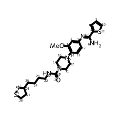 COc1cc(/N=C(\N)c2cccs2)ccc1N1CCN(C(=O)NCCCCC2CCSS2)CC1